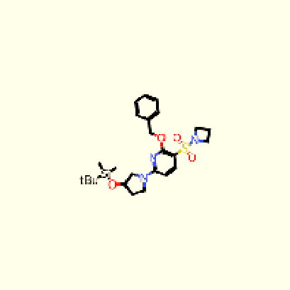 CC(C)(C)[Si](C)(C)OC1CCN(c2ccc(S(=O)(=O)N3CCC3)c(OCc3ccccc3)n2)C1